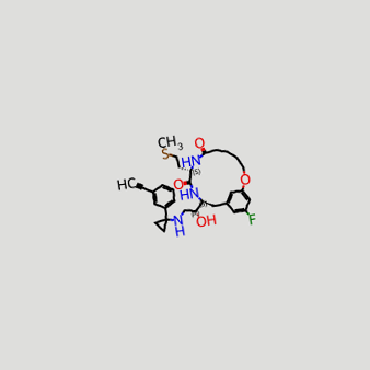 C#Cc1cccc(C2(NC[C@@H](O)[C@@H]3Cc4cc(F)cc(c4)OCCCCC(=O)N[C@@H](CCSC)C(=O)N3)CC2)c1